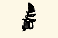 C#CCOC(=O)O[C@@H]1[C][C@@]2(O)[C@H](C)CC[C@@H](C(C)C)[C@H]2C=C1C